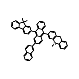 CN1c2ccccc2Cc2ccc(-c3c4ccccc4c(-c4ccc5c(c4)C(C)(C)c4ccccc4-5)c4cc(-c5ccc6ccccc6c5)ccc34)cc21